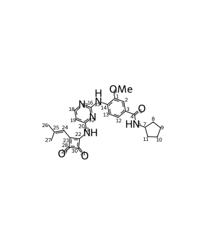 COc1cc(C(=O)NC2CCCC2)ccc1Nc1nccc(Nc2c(C=C(C)C)c(=O)c2=O)n1